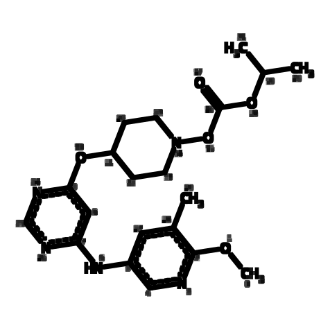 COc1ncc(Nc2cc(OC3CCN(OC(=O)OC(C)C)CC3)ncn2)cc1C